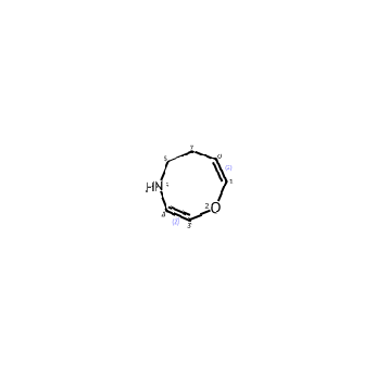 C1=C\O/C=C\NCC/1